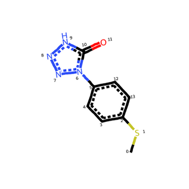 CSc1ccc(-n2nn[nH]c2=O)cc1